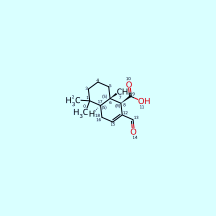 CC1(C)CCC[C@]2(C)[C@@H](C(=O)O)C(C=O)=CC[C@@H]12